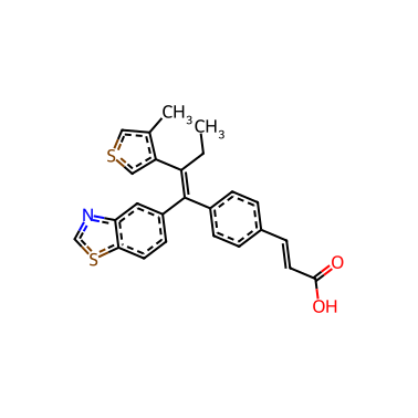 CCC(=C(c1ccc(C=CC(=O)O)cc1)c1ccc2scnc2c1)c1cscc1C